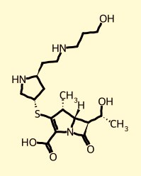 C[C@@H](O)[C@H]1C(=O)N2C(C(=O)O)=C(S[C@@H]3CN[C@@H](CCNCCCO)C3)[C@H](C)[C@H]12